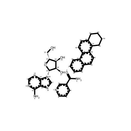 NC(=O)c1cccnc1.Nc1ncnc2c1ncn2[C@@H]1O[C@H](CO)[C@@H](O)[C@H]1O.c1ccc2c(c1)ccc1c3c(ccc12)CCCC3